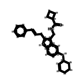 O=C(NCc1c(CC=Cc2ccccc2)sc2ccc(SC3C=CCCC3)cc12)C1CCC1